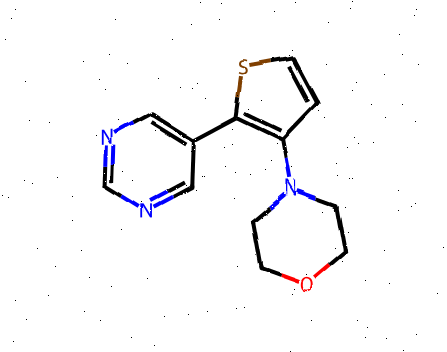 c1ncc(-c2sccc2N2CCOCC2)cn1